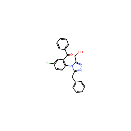 O=C(c1ccccc1)c1cc(Cl)ccc1-n1c(CO)nnc1Cc1ccccc1